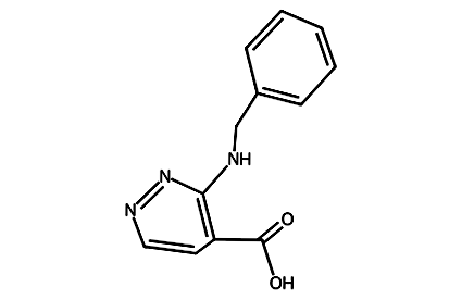 O=C(O)c1ccnnc1NCc1ccccc1